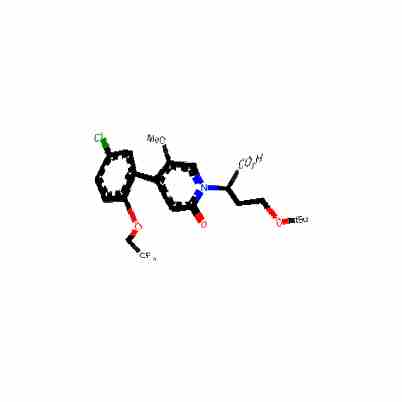 COc1cn(C(CCOC(C)(C)C)C(=O)O)c(=O)cc1-c1cc(Cl)ccc1OCC(F)(F)F